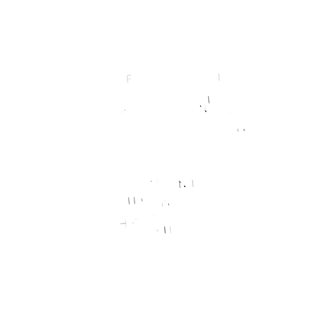 CC(C)(C)OC(=O)NCCc1cc(-c2ccc(F)c(Cl)c2)nc(C2(C(F)(F)F)CO2)c1